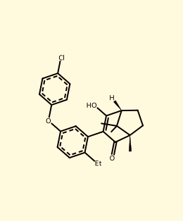 CCc1ccc(Oc2ccc(Cl)cc2)cc1C1=C(O)[C@@H]2CC[C@](C)(C1=O)C2(C)C